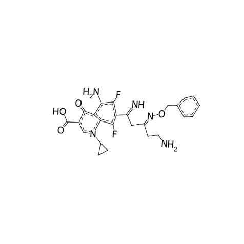 N=C(CC(CCN)=NOCc1ccccc1)c1c(F)c(N)c2c(=O)c(C(=O)O)cn(C3CC3)c2c1F